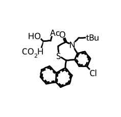 CC(=O)C[C@H](O)C(=O)O.CC(C)(C)CN1C(=O)CSC(c2cccc3ccccc23)c2cc(Cl)ccc21